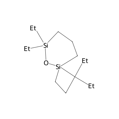 CCC1(CC)CC[Si]12CCC[Si](CC)(CC)O2